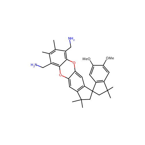 COc1cc2c(cc1OC)C1(CC2(C)C)CC(C)(C)c2cc3c(cc21)Oc1c(CN)c(C)c(C)c(CN)c1O3